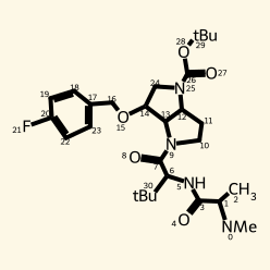 CNC(C)C(=O)NC(C(=O)N1CCC2C1C(OCc1ccc(F)cc1)CN2C(=O)OC(C)(C)C)C(C)(C)C